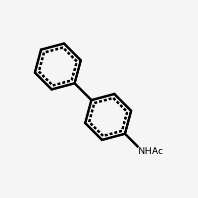 [CH2]C(=O)Nc1ccc(-c2ccccc2)cc1